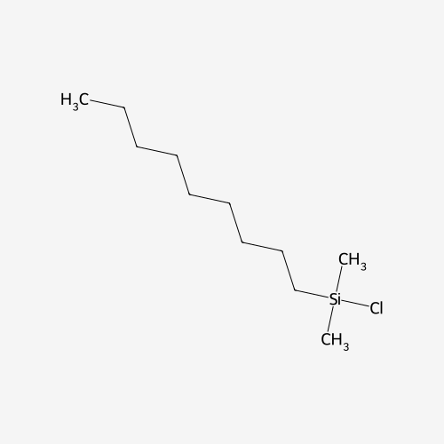 CCCCCCCCC[Si](C)(C)Cl